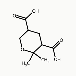 CC1(C)OCC(C(=O)O)CC1C(=O)O